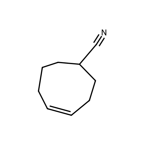 N#CC1CC/C=C\CCC1